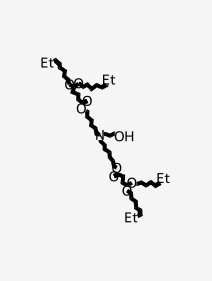 CC/C=C\CCCCOC(CCCC(=O)OCCCCCCN(CCCO)CCCCCCCOC(=O)CCC(OCCCC/C=C\CC)OCCCC/C=C\CC)OCCCC/C=C\CC